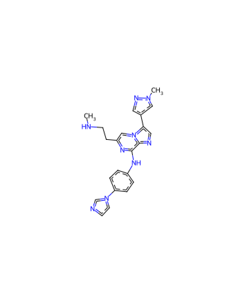 CNCCc1cn2c(-c3cnn(C)c3)cnc2c(Nc2ccc(-n3ccnc3)cc2)n1